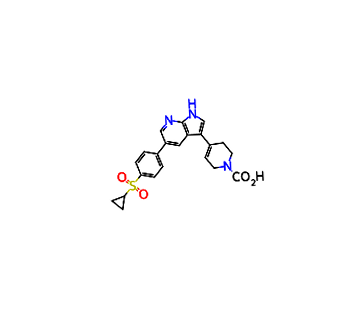 O=C(O)N1CC=C(c2c[nH]c3ncc(-c4ccc(S(=O)(=O)C5CC5)cc4)cc23)CC1